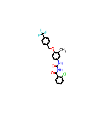 Cc1cc(NC(=O)NC(=O)c2ccccc2Cl)ccc1OCc1ccc(C(F)(F)F)cc1